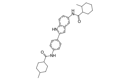 CC1CCC(C(=O)Nc2ccc(-c3cc4cc(NC(=O)C5CCCCC5C)ccc4[nH]3)cc2)CC1